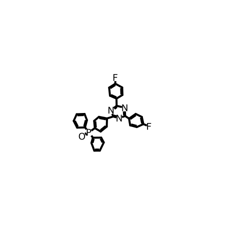 O=P(c1ccccc1)(c1ccccc1)c1ccc(-c2nc(-c3ccc(F)cc3)nc(-c3ccc(F)cc3)n2)cc1